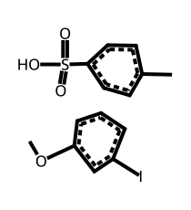 COc1cccc(I)c1.Cc1ccc(S(=O)(=O)O)cc1